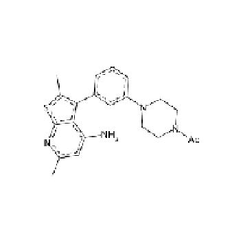 CC(=O)N1CCN(c2cccc(-c3c(C)sc4nc(C)cc(N)c34)c2)CC1